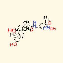 C[C@H](CCC(=O)NCC1=CCC(C)(C(=O)NO)C=C1)[C@H]1CCC2[C@@H]3[C@@H](O)CC4C[C@H](O)CC[C@]4(C)[C@H]3CC[C@@]21C